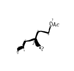 CC=CC(=O)CCOC(C)=O